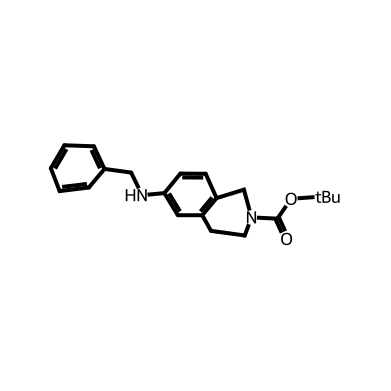 CC(C)(C)OC(=O)N1CCc2cc(NCc3ccccc3)ccc2C1